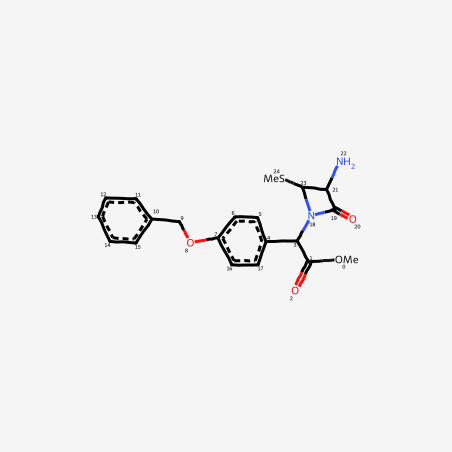 COC(=O)C(c1ccc(OCc2ccccc2)cc1)N1C(=O)C(N)C1SC